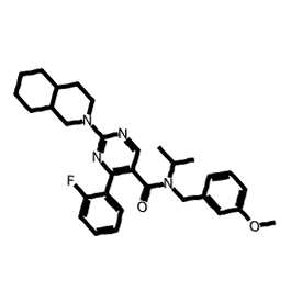 COc1cccc(CN(C(=O)c2cnc(N3CCC4CCCCC4C3)nc2-c2ccccc2F)C(C)C)c1